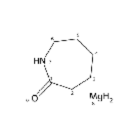 O=C1CCCCCN1.[MgH2]